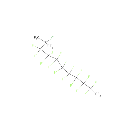 FC(F)(F)C(F)(F)C(F)(F)C(F)(F)C(F)(F)C(F)(F)C(F)(F)C(F)(F)C(F)(F)[Si](Cl)(C(F)(F)F)C(F)(F)F